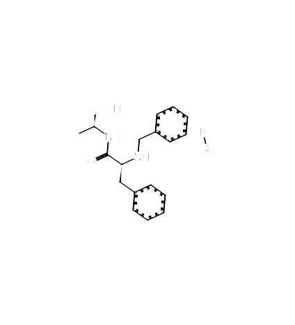 CC(=O)Br.C[C@H](NC(=O)[C@H](Cc1ccccc1)NCc1ccccc1)C(=O)O